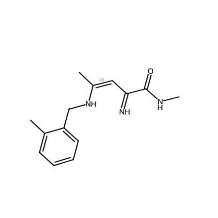 CNC(=O)C(=N)/C=C(/C)NCc1ccccc1C